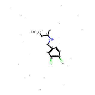 CCOC(=O)CC(C)NCc1ccc(Cl)c(Cl)c1